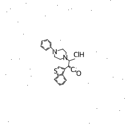 CC(C(=C=O)c1csc2ccccc12)N1CCN(c2ccccc2)CC1.Cl